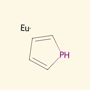 [Eu].c1cc[pH]c1